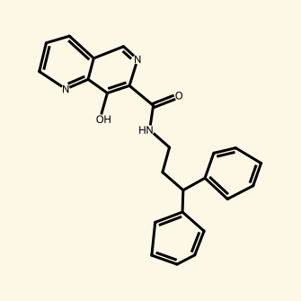 O=C(NCCC(c1ccccc1)c1ccccc1)c1ncc2cccnc2c1O